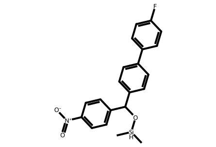 C[SiH](C)OC(c1ccc(-c2ccc(F)cc2)cc1)c1ccc([N+](=O)[O-])cc1